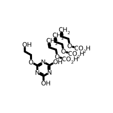 C=CCOC(=O)O.C=CCOC(=O)O.C=CCOC(=O)O.OCCOc1nc(O)nc(O)n1